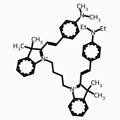 CCN(CC)c1ccc(/C=C/C2=[N+](CCCC[N+]3=C(/C=C/c4ccc(N(C)C)cc4)C(C)(C)c4ccccc43)c3ccccc3C2(C)C)cc1